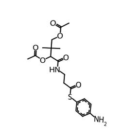 CC(=O)OCC(C)(C)C(OC(C)=O)C(=O)NCCC(=O)Sc1ccc(N)cc1